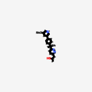 COc1cncc(-c2ccc(C(C)(c3ccc(CC(C)O)nn3)C(C)C)cc2)c1